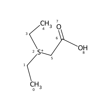 CC[S+](CC)CC(=O)O